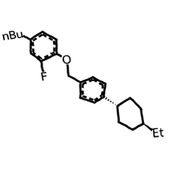 CCCCc1ccc(OCc2ccc([C@H]3CC[C@H](CC)CC3)cc2)c(F)c1